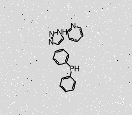 c1c[nH]nn1.c1ccc(Pc2ccccc2)cc1.c1ccncc1